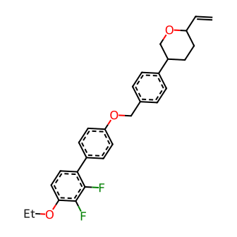 C=CC1CCC(c2ccc(COc3ccc(-c4ccc(OCC)c(F)c4F)cc3)cc2)CO1